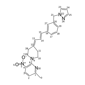 Cc1ccc([N+](=O)[O-])c(N2CCC(=CC=Cc3cccc(Cn4cccn4)c3)CC2)n1